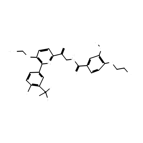 CCOc1ccc(C(=O)CNC(=O)c2ccc(OCCO)c(OC)c2)nc1-c1ccc(F)c(C(F)(F)F)c1